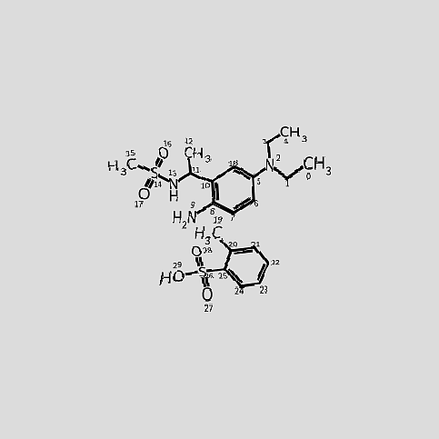 CCN(CC)c1ccc(N)c(C(C)NS(C)(=O)=O)c1.Cc1ccccc1S(=O)(=O)O